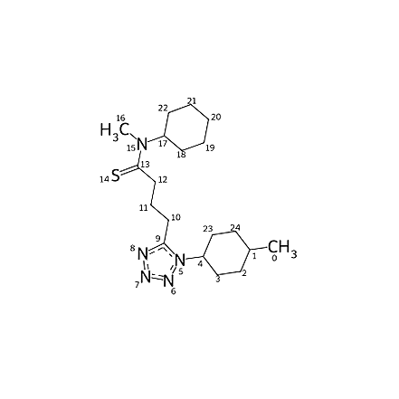 CC1CCC(n2nnnc2CCCC(=S)N(C)C2CCCCC2)CC1